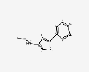 CCNc1csc(-c2ccncc2)n1